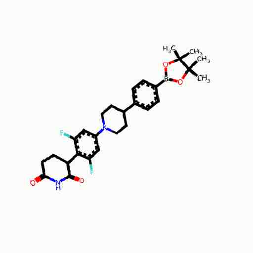 CC1(C)OB(c2ccc(C3CCN(c4cc(F)c(C5CCC(=O)NC5=O)c(F)c4)CC3)cc2)OC1(C)C